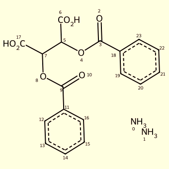 N.N.O=C(OC(C(=O)O)C(OC(=O)c1ccccc1)C(=O)O)c1ccccc1